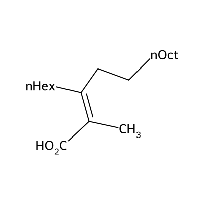 CCCCCCCCCCC(CCCCCC)=C(C)C(=O)O